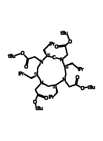 CC(C)C[C@H]1CN(CC(=O)OC(C)(C)C)[C@@H](CC(C)C)CN(CC(=O)OC(C)(C)C)[C@@H](CC(C)C)CN(CC(=O)OC(C)(C)C)[C@@H](CC(C)C)CN1CC(=O)OC(C)(C)C